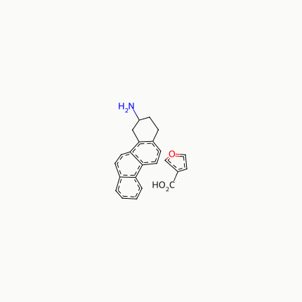 NC1CCc2ccc3c(ccc4ccccc43)c2C1.O=C(O)c1ccoc1